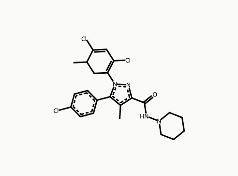 Cc1c(C(=O)NN2CCCCC2)nn(C2=C(Cl)C=C(Cl)C(C)C2)c1-c1ccc(Cl)cc1